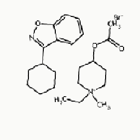 CC[N+]1(C)CCC(OC(C)=O)CC1.[Br-].c1ccc2c(C3CCCCC3)noc2c1